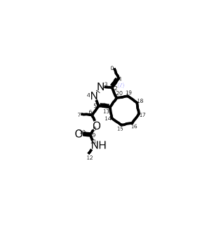 C/C=C1\N=NC(C(C)OC(=O)NC)=C2CCCCCCC21